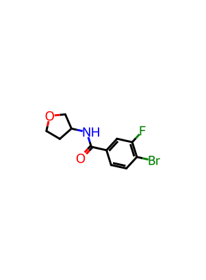 O=C(NC1CCOC1)c1ccc(Br)c(F)c1